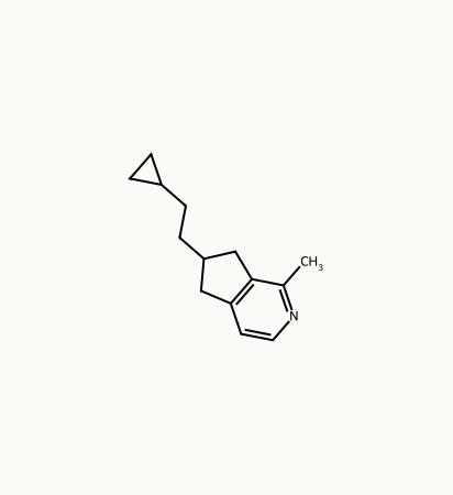 Cc1nccc2c1CC(CCC1CC1)C2